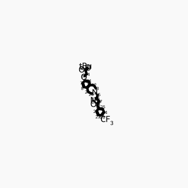 CC(C)(C)OC(=O)COc1ccc2c(c1)CCN(Cc1cc(-c3ccc(C(F)(F)F)cc3)on1)CC2